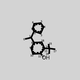 CC(c1ccccc1)c1ccc(O)c(C(C)(C)C)c1